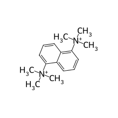 C[N+](C)(C)c1cccc2c([N+](C)(C)C)cccc12